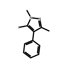 Cc1nn(C)c(I)c1-c1ccccc1